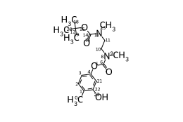 Cc1ccc(OC(=O)N(C)CCN(C)C(=O)OC(C)(C)C)cc1O